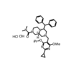 COc1nc(C2CC2)nc(OC(C)C)c1CN1CC(C(c2ccccc2)c2ccccc2)N2CCN(C(=O)N(C)C)C[C@H]2C1.Cl.Cl